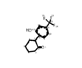 Cl.O=C1CCCCC1c1ccc(C(F)(F)F)cc1